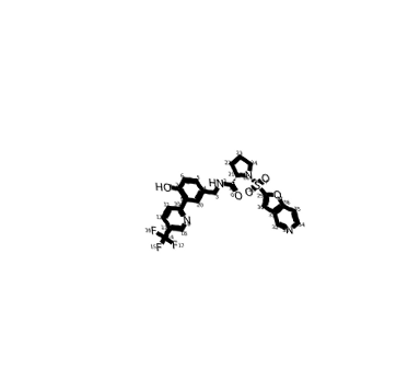 O=C(NCc1ccc(O)c(-c2ccc(C(F)(F)F)cn2)c1)[C@@H]1CCCN1S(=O)(=O)c1cc2cnccc2o1